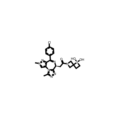 Cc1nnc2n1-c1cn(C)nc1C(c1ccc(Cl)cc1)=N[C@H]2CC(=O)N1CC2(CCS2(O)O)C1